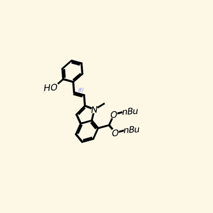 CCCCOC(OCCCC)c1cccc2cc(/C=C/c3ccccc3O)n(C)c12